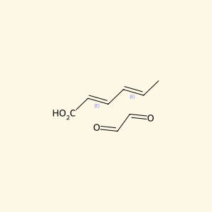 C/C=C/C=C/C(=O)O.O=CC=O